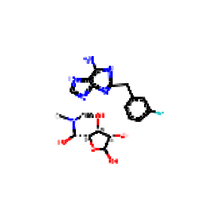 CCN(C=O)C(O)[C@H]1OC(O)[C@H](O)[C@@H]1O.Nc1nc(Cc2cccc(F)c2)nc2nc[nH]c12